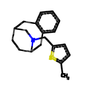 Cc1ccc(CN2CC3CCC2Cc2ccccc2C3)s1